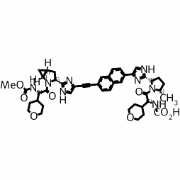 COC(=O)N[C@H](C(=O)N1[C@@H]2C[C@@H]2C[C@H]1c1nc(C#Cc2ccc3cc(-c4c[nH]c([C@@H]5CC[C@H](C)N5C(=O)[C@@H](NC(=O)O)C5CCOCC5)n4)ccc3c2)c[nH]1)C1CCOCC1